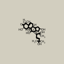 CC(C)(O)/C=C/C(=O)C(C)(O)[C@H]1[C@H](O)C[C@@]2(C)[C@@H]3CC=C4[C@@H](C[C@H](O)C(=O)C4(C)C)[C@]3(C)C(O)C[C@]12C